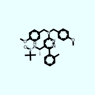 COc1ccc(CN(Cc2ccc(OC)cc2)c2cc([C@H](C)N[S+]([O-])C(C)(C)C)c(-c3ccccc3C)nn2)cc1